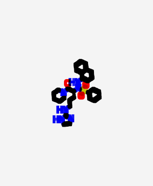 O=C([C@H](CCCNc1ncc[nH]1)N(Nc1cccc2ccccc12)S(=O)(=O)c1ccccc1)N1CCCCC1